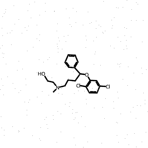 CN(CCO)CCCC(Oc1cc(Cl)ccc1Cl)c1ccccc1